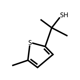 Cc1ccc(C(C)(C)S)s1